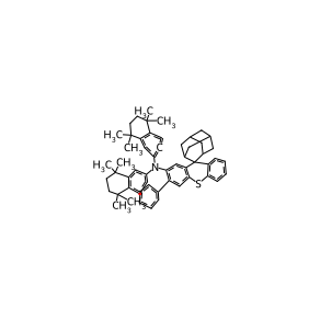 CC1(C)CCC(C)(C)c2cc(N(c3ccc4c(c3)C(C)(C)CCC4(C)C)c3cc4c(cc3-c3ccccc3)Sc3ccccc3C43C4CC5CC(C4)CC3C5)ccc21